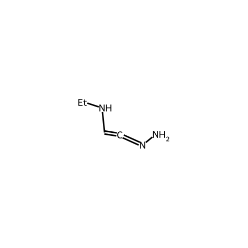 CCNC=C=NN